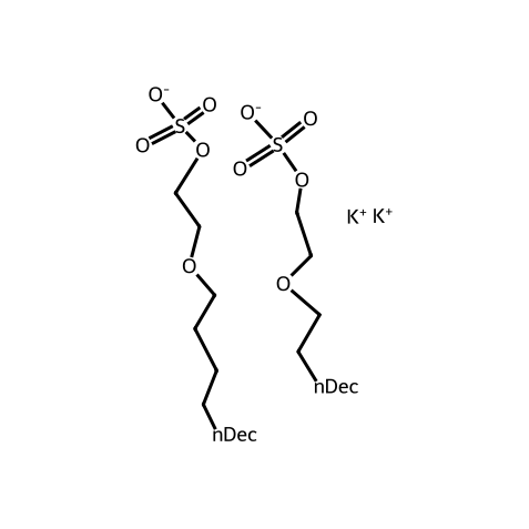 CCCCCCCCCCCCCCOCCOS(=O)(=O)[O-].CCCCCCCCCCCCOCCOS(=O)(=O)[O-].[K+].[K+]